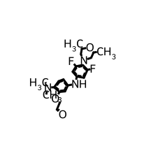 CC1CN(c2c(F)cc(Nc3ccc(N(C)C)c(OCC=O)c3)cc2F)CC(C)O1